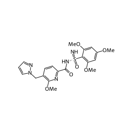 COc1cc(OC)c([S@](=N)(=O)NC(=O)c2ccc(Cn3cccn3)c(OC)n2)c(OC)c1